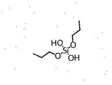 CCCO[Si](O)(O)OCCC